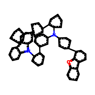 c1ccc(-c2ccc(-c3ccccc3N(c3ccc(-c4cccc5c4oc4ccccc45)cc3)c3cccc(-c4ccccc4-n4c5ccccc5c5ccccc54)c3)cc2)cc1